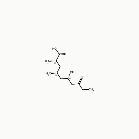 CCC(=O)C[C@@H](O)C[C@@H](C)C[C@H](N)C(=O)O